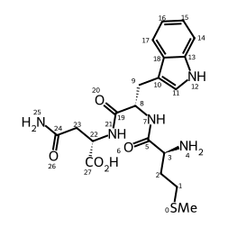 CSCC[C@H](N)C(=O)N[C@@H](Cc1c[nH]c2ccccc12)C(=O)N[C@@H](CC(N)=O)C(=O)O